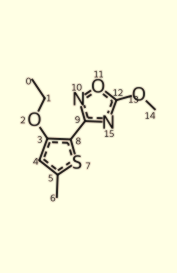 CCOc1cc(C)sc1-c1noc(OC)n1